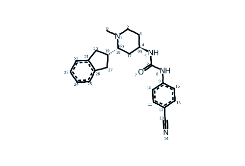 CN1CC[C@@H](NC(=O)Nc2ccc(C#N)cc2)C[C@@H]1C1Cc2ccccc2C1